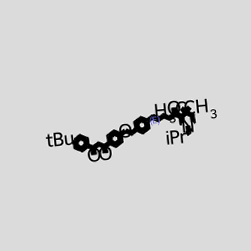 CC(C)CN1C=C(C(=O)CC/C=C/c2ccc(COc3ccc(C(=O)CC(=O)c4ccc(C(C)(C)C)cc4)cc3)cc2)C(C)(C)CC1